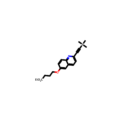 CCOC(=O)CCCOc1ccc2nc(C#C[Si](C)(C)C)ccc2c1